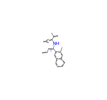 C=C=C(N/C(=C/C=C)c1cc2ccccc2cc1C)C(=C)C